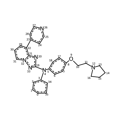 c1ccc(N(c2ccc(OCCN3CCCC3)cc2)c2nc3c(-c4ccncc4)cccn3n2)cc1